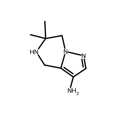 CC1(C)Cn2ncc(N)c2CN1